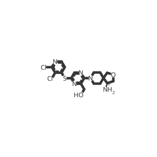 N[C@@H]1COCC12CCN(c1ncc(Sc3ccnc(Cl)c3Cl)nc1CO)CC2